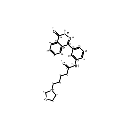 O=C(CCCCN1CCSC1)Nc1cccc(-c2n[nH]c(=O)c3ccccc23)c1